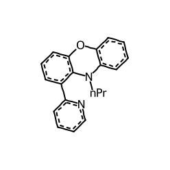 CCCN1c2ccccc2Oc2cccc(-c3ccccn3)c21